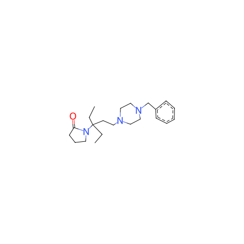 CCC(CC)(CCN1CCN(Cc2ccccc2)CC1)N1CCCC1=O